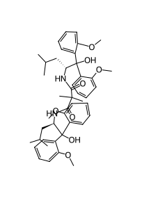 COc1ccccc1C(O)(c1ccccc1OC)[C@@H](CC(C)C)NC(=O)C(C)(C)C(=O)N[C@H](CC(C)C)C(O)(c1ccccc1OC)c1ccccc1OC